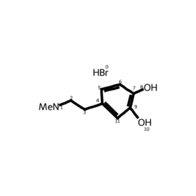 Br.CNCCc1ccc(O)c(O)c1